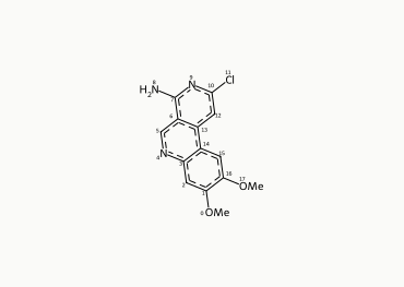 COc1cc2ncc3c(N)nc(Cl)cc3c2cc1OC